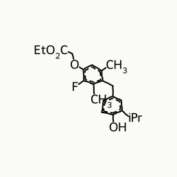 CCOC(=O)COc1cc(C)c(Cc2ccc(O)c(C(C)C)c2)c(C)c1F